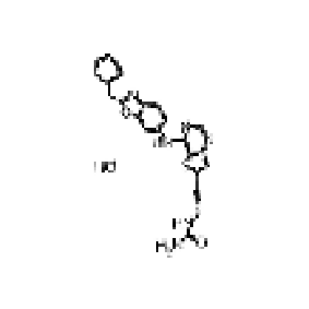 Cl.NC(=O)NCC#Cc1cc2ncnc(Nc3ccc4nc(Cc5ccccc5)oc4c3)c2s1